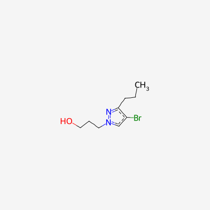 CCCc1nn(CCCO)cc1Br